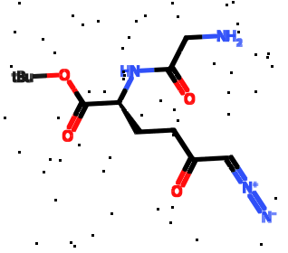 CC(C)(C)OC(=O)[C@H](CCC(=O)C=[N+]=[N-])NC(=O)CN